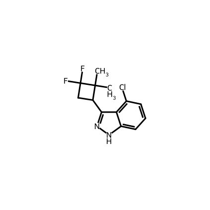 CC1(C)C(c2n[nH]c3cccc(Cl)c23)CC1(F)F